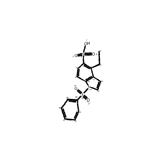 CCc1c(S(=O)(=O)O)ccc2c1ccn2S(=O)(=O)c1ccccc1